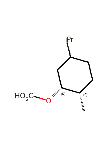 CC(C)C1CC[C@H](C)[C@H](OC(=O)O)C1